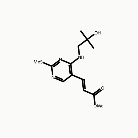 COC(=O)/C=C/c1cnc(SC)nc1NCC(C)(C)O